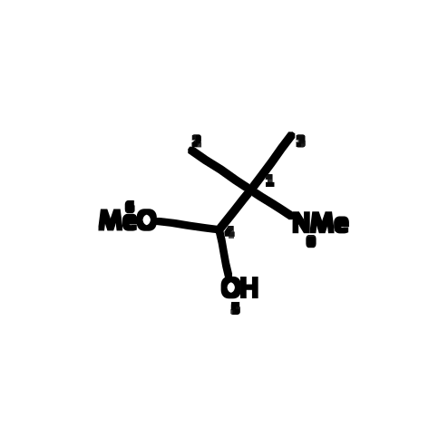 CNC(C)(C)C(O)OC